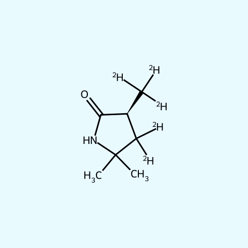 [2H]C([2H])([2H])[C@@H]1C(=O)NC(C)(C)C1([2H])[2H]